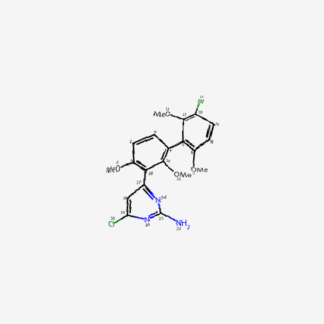 COc1ccc(-c2c(OC)ccc(Br)c2OC)c(OC)c1-c1cc(Cl)nc(N)n1